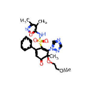 COCCOC1(C)C(=O)C=C(c2ccccc2)C(S(=O)(=O)Nc2onc(C)c2C)=C1n1cncn1